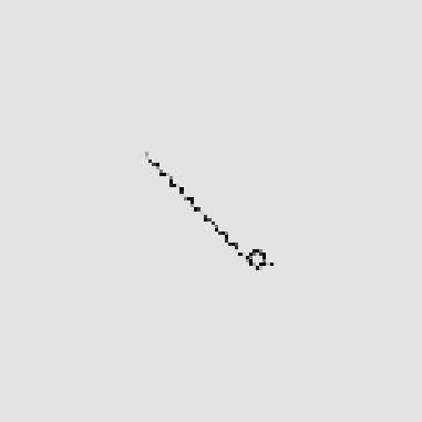 CCCCCCCCCCCCCCCCCCc1ccc(C)cc1